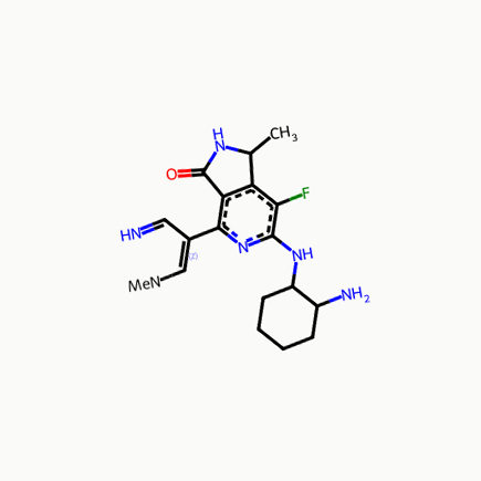 CN/C=C(\C=N)c1nc(NC2CCCCC2N)c(F)c2c1C(=O)NC2C